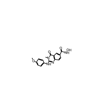 COc1ccc(Nc2nc3ccc(C(=O)NO)cc3c(=O)n2C)cc1